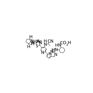 CC(=O)N[C@@H]1[C@@H]2CC[C@H]1CN(c1nnc(-c3cnc(-c4ccc5cnc(N[C@@H]6CCCC[C@@H]6NC(=O)O)nn45)cc3N[C@H](C)C#N)s1)C2